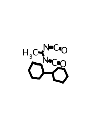 C1CCC(C2CCCCC2)CC1.CC(N=C=O)N=C=O